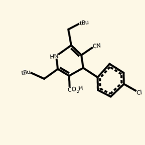 CC(C)(C)CC1=C(C#N)C(c2ccc(Cl)cc2)C(C(=O)O)=C(CC(C)(C)C)N1